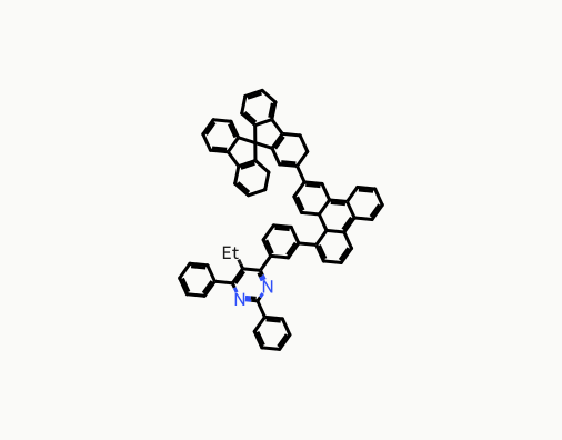 CCc1c(-c2ccccc2)nc(-c2ccccc2)nc1-c1cccc(C2=CC=CC3=c4ccccc4=C4C=C(C5=CC6=C(CC5)c5ccccc5C65C6=C(C=CCC6)c6ccccc65)C=CC4C23)c1